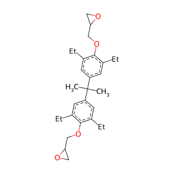 CCc1cc(C(C)(C)c2cc(CC)c(OCC3CO3)c(CC)c2)cc(CC)c1OCC1CO1